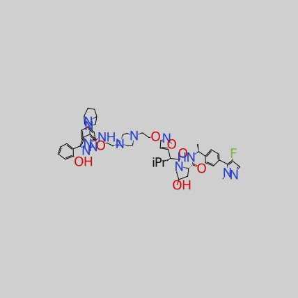 CC(C)[C@H](C(=O)N1C[C@H](O)C[C@H]1C(=O)N[C@@H](C)c1ccc(-c2c(F)cnn2C)cc1)c1cc(OCCN2CCN(CCOc3cc(N4C5CCC4CN(c4cc(-c6ccccc6O)nnc4N)C5)ccn3)CC2)no1